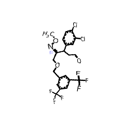 CO/N=C(/COCc1cc(C(F)(F)F)cc(C(F)(F)F)c1)C(CC=O)c1ccc(Cl)c(Cl)c1